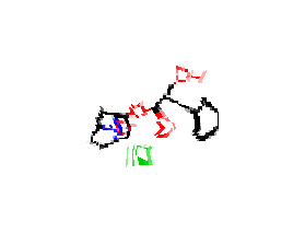 C[N+]1([O-])C2CCC1CC(OC(=O)C(CO)c1ccccc1)C2.Cl